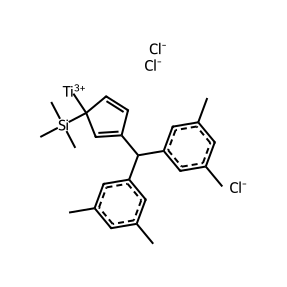 Cc1cc(C)cc(C(C2=C[C]([Ti+3])([Si](C)(C)C)C=C2)c2cc(C)cc(C)c2)c1.[Cl-].[Cl-].[Cl-]